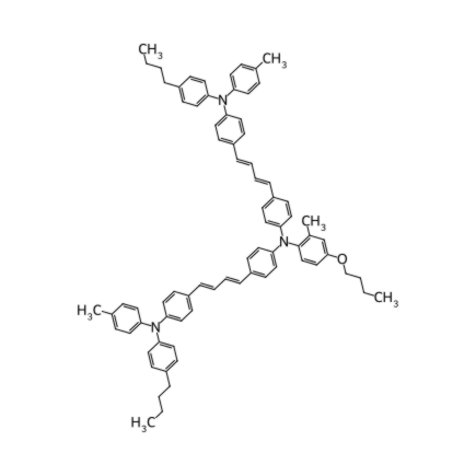 CCCCOc1ccc(N(c2ccc(/C=C/C=C/c3ccc(N(c4ccc(C)cc4)c4ccc(CCCC)cc4)cc3)cc2)c2ccc(/C=C/C=C/c3ccc(N(c4ccc(C)cc4)c4ccc(CCCC)cc4)cc3)cc2)c(C)c1